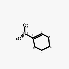 O=[N+]([O-])C1=CCCCC1